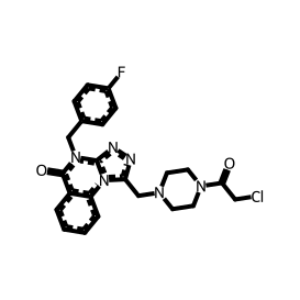 O=C(CCl)N1CCN(Cc2nnc3n(Cc4ccc(F)cc4)c(=O)c4ccccc4n23)CC1